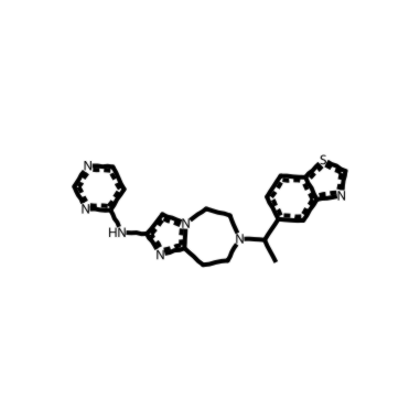 CC(c1ccc2scnc2c1)N1CCc2nc(Nc3ccncn3)cn2CC1